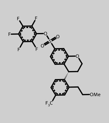 COCCc1cc(C(F)(F)F)ccc1[C@H]1CCOc2cc(S(=O)(=O)Oc3c(F)c(F)c(F)c(F)c3F)ccc21